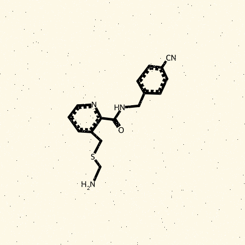 N#Cc1ccc(CNC(=O)c2ncccc2CSCN)cc1